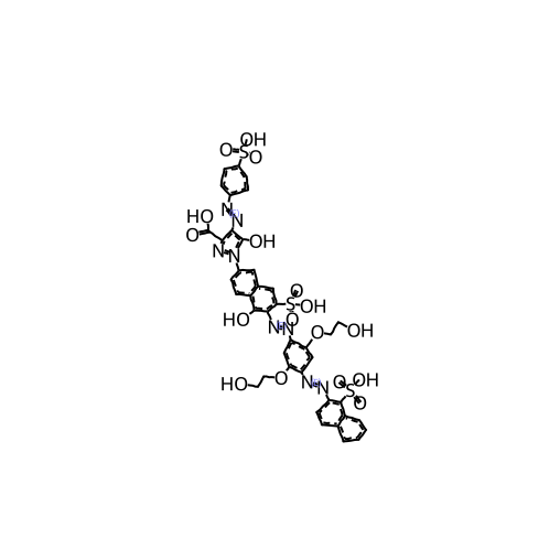 O=C(O)c1nn(-c2ccc3c(O)c(/N=N/c4cc(OCCO)c(/N=N/c5ccc6ccccc6c5S(=O)(=O)O)cc4OCCO)c(S(=O)(=O)O)cc3c2)c(O)c1/N=N/c1ccc(S(=O)(=O)O)cc1